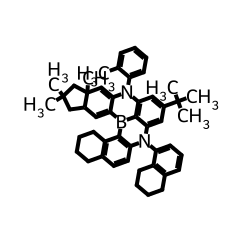 Cc1ccccc1N1C2=CC3(C)CC(C)(C)CC3C=C2B2c3c1cc(C(C)(C)C)cc3N(c1cccc3c1CCCC3)c1ccc3c(c12)CCCC3